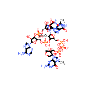 CO[C@H]1C(OP(=O)(O)OC[C@H]2O[C@@H](n3cnc4c(N)ncnc43)[C@@H](O)C2OP(=O)(O)OC[C@H]2O[C@@H](n3cnc4c(=O)[nH]c(C)nc43)[C@@H](O)C2O)[C@@H](COP(=O)(O)OP(=O)([O-])OP(=O)(O)OCC2(O)COCC2(O)n2c[n+](C)c3c(=O)[nH]c(N)nc32)O[C@H]1n1cnc2c(=O)[nH]c(N)nc21